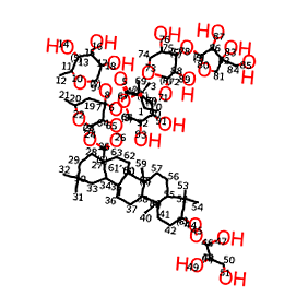 CC[C@H](C)C(=O)OC1(O[C@@H]2OC(C)[C@@H](O)C(O)C2O)CC(C)O[C@@H](OC(=O)[C@]23CCC(C)(C)CC2C2=CCC4[C@@]5(C)CC[C@H](OOC(O)[C@H](O)CO)C(C)(C)C5CC[C@@]4(C)[C@]2(C)CC3)C1O[C@@H]1OC(C)[C@H](O[C@H]2OCC(O)[C@H](O[C@@H]3OCC(O)(CO)C3O)C2O)C(O)C1O